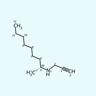 C#CCN[C@H](C)CCCCCCC